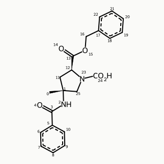 C[C@@]1(NC(=O)c2ccccc2)C[C@@H](C(=O)OCc2ccccc2)N(C(=O)O)C1